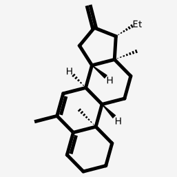 C=C1C[C@H]2[C@@H]3C=C(C)C4=CCCC[C@]4(C)[C@H]3CC[C@]2(C)[C@H]1CC